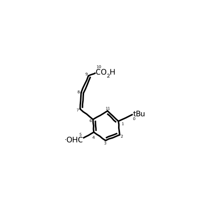 CC(C)(C)c1ccc([C]=O)c(C=C=CC(=O)O)c1